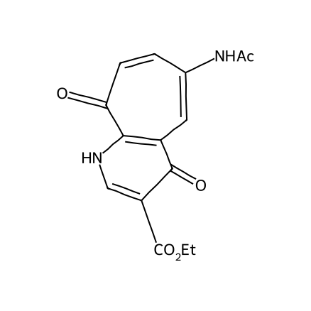 CCOC(=O)c1c[nH]c2c(=O)ccc(NC(C)=O)cc2c1=O